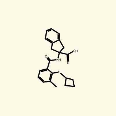 Cc1cccc(C(=O)NC2(C(=O)O)Cc3ccccc3C2)c1OC1CCC1